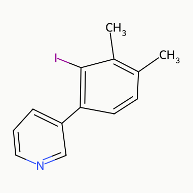 Cc1ccc(-c2cccnc2)c(I)c1C